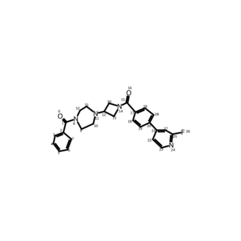 O=C(c1ccccc1)N1CCN(C2CN(C(=O)c3ccc(-c4ccnc(F)c4)cc3)C2)CC1